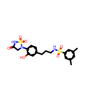 Cc1cc(C)cc(S(=O)(=O)NCCCc2ccc(N3CC(=O)NS3(=O)=O)c(O)c2)c1